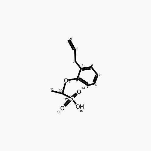 C=CCc1ccccc1OC(C)S(=O)(=O)O